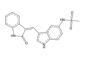 CS(=O)(=O)Nc1ccc2[nH]cc(C=C3C(=O)Nc4ccccc43)c2c1